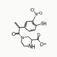 C=C(C(=O)N1CCNC(C(=O)OC)C1)c1ccc(S)c([N+](=O)[O-])c1